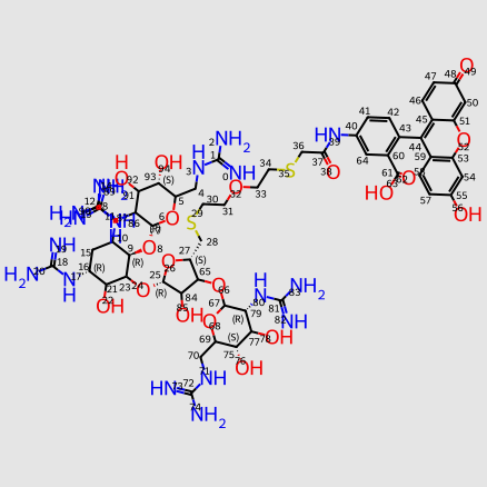 N=C(N)NCC1O[C@H](O[C@@H]2C(NC(=N)N)C[C@@H](NC(=N)N)C(O)C2O[C@@H]2O[C@H](CSCCOCCSCC(=O)Nc3ccc(-c4c5ccc(=O)cc-5oc5cc(O)ccc45)c(C(=O)O)c3)C(OC3OC(CNC(=N)N)[C@@H](O)C(O)[C@H]3NC(=N)N)C2O)C(NC(=N)N)C(O)[C@@H]1O